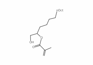 C=C(C)C(=O)OC(CO)CCCCCCCCCCCC